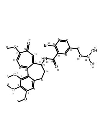 COc1cc2c(c(OC)c1OC)-c1ccc(SC)c(=O)cc1[C@@H](NC(=O)c1cc(CON(O)O)ccc1Br)CC2